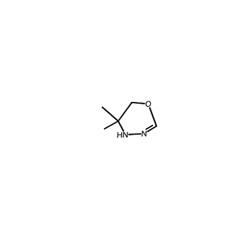 CC1(C)COC=NN1